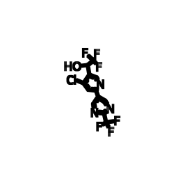 OC(c1cnc(-c2cnc(C(F)(F)F)nc2)cc1Cl)C(F)(F)F